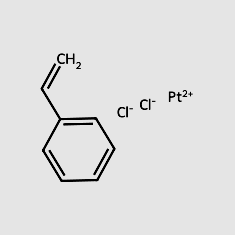 C=Cc1ccccc1.[Cl-].[Cl-].[Pt+2]